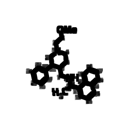 COCCN1CCC(CN[C@H](C)c2cccc3ccccc23)C(c2ccccc2)C1